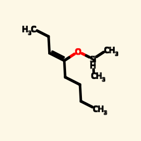 CCC=C(CCCC)O[SiH](C)C